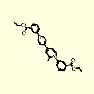 CCOC(=O)c1cccc(N2C=CC(C3=CC(C)N(c4cccc(C(=O)OCC)c4)C=C3)=CC2)c1